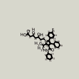 CC(C)c1c(C(=O)Nc2ccccc2)c(C2=CCCC=C2)c(-c2ccc(F)cc2)n1CCC(O)CC(O)CC(=O)O